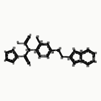 CC(=O)N(C(=O)c1cccs1)c1ccc(OCc2nc3ccccc3s2)cc1C